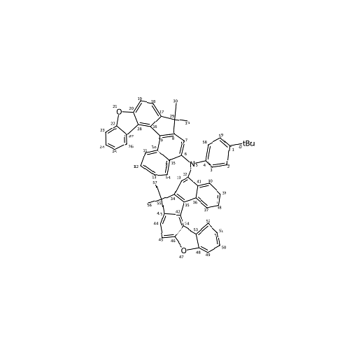 CC(C)(C)c1ccc(N(c2cc3c(c4ccccc24)-c2c(ccc4oc5ccccc5c24)C3(C)C)c2cc3c(c4ccccc24)-c2c(ccc4oc5ccccc5c24)C3(C)C)cc1